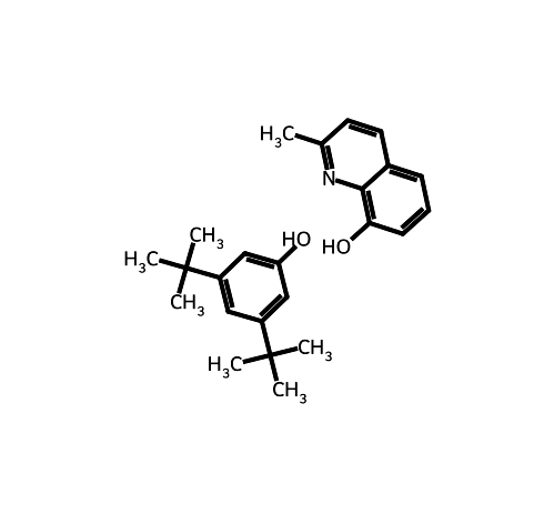 CC(C)(C)c1cc(O)cc(C(C)(C)C)c1.Cc1ccc2cccc(O)c2n1